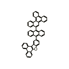 c1ccc2c(-c3cc4c5ccccc5c5ccccc5c4c4ccccc34)c3ccccc3c(-c3ccc4oc5c6ccccc6c6ccccc6c5c4c3)c2c1